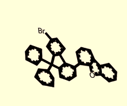 Brc1ccc2c(c1)C(c1ccccc1)(c1ccccc1)c1cccc(-c3cccc4c3oc3ccccc34)c1-2